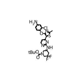 Cc1nc(Oc2ccc(N)cc2Cl)c(-c2ccnc(N[C@@H]3CN(C(=O)OC(C)(C)C)CC(F)(F)C3)n2)s1